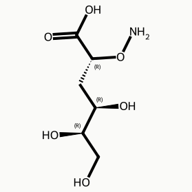 NO[C@H](C[C@@H](O)[C@H](O)CO)C(=O)O